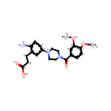 COc1ccc(C(=O)N2CCN(c3ccc(N)c(CCC(=O)O)c3)CC2)cc1OC